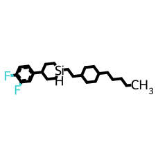 CCCCCC1CCC(CC[SiH]2CCC(c3ccc(F)c(F)c3)CC2)CC1